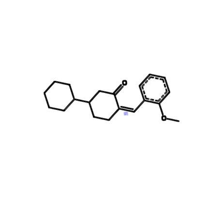 COc1ccccc1/C=C1/CCC(C2CCCCC2)CC1=O